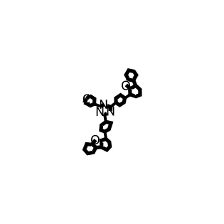 c1ccc(-c2nc(-c3ccc(-c4cccc5c4oc4ccccc45)cc3)nc(-c3ccc(-c4cccc5c4oc4ccccc45)cc3)n2)cc1